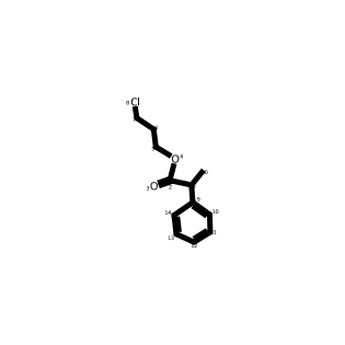 CC(C(=O)OCCCCl)c1ccccc1